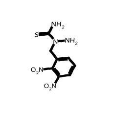 NC(=S)N(N)Cc1cccc([N+](=O)[O-])c1[N+](=O)[O-]